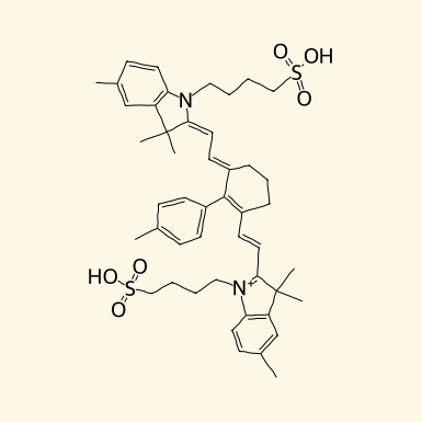 Cc1ccc(C2=C(/C=C/C3=[N+](CCCCS(=O)(=O)O)c4ccc(C)cc4C3(C)C)CCC/C2=C\C=C2\N(CCCCS(=O)(=O)O)c3ccc(C)cc3C2(C)C)cc1